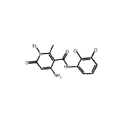 CCn1c(C)c(C(=O)Nc2cccc(Cl)c2Cl)c(N)cc1=O